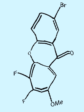 COc1cc2c(=O)c3cc(Br)ccc3oc2c(F)c1F